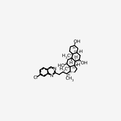 C[C@H](CCc1ncc2ccc(Cl)cc2n1)[C@H]1CC[C@H]2[C@@H]3[C@H](O)C[C@@H]4C[C@H](O)CC[C@]4(C)[C@H]3C[C@H](O)[C@]12C